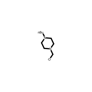 CCCCN1CCN(C[O])CC1